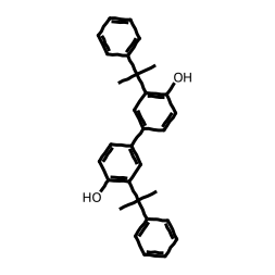 CC(C)(c1ccccc1)c1cc(-c2ccc(O)c(C(C)(C)c3ccccc3)c2)ccc1O